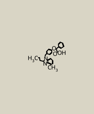 CCCc1nc2c(C)cccc2n1Cc1ccc(OC(C(=O)O)c2ccccc2)cc1